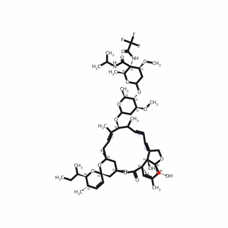 CCC(C)[C@H]1O[C@]2(C=C[C@@H]1C)C[C@@H]1C[C@@H](C/C=C(\C)[C@@H](OC3C[C@H](OC)[C@@H](OC4C[C@H](OC)[C@](NC(=O)C(F)(F)F)(C(=O)NC(C)C)[C@H](C)O4)[C@H](C)O3)C(C)/C=C/C=C3\CO[C@@H]4[C@H](O)C(C)=C[C@@H](C(=O)O1)[C@]34O)O2